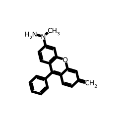 C=c1ccc2c(c1)Oc1cc(N(C)N)ccc1C=2c1ccccc1